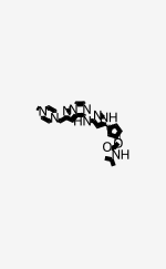 CC(C)NC(=O)O[C@@H]1CC[C@H](c2cc(Nc3nccn4nc(CN5CCN(C)CC5)cc34)n[nH]2)C1